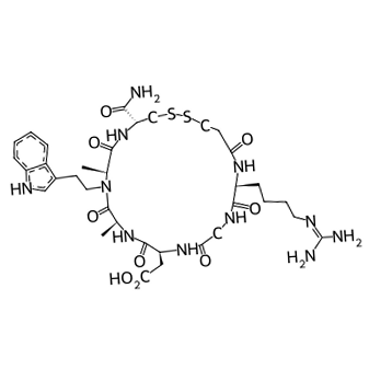 C[C@@H]1NC(=O)[C@H](CC(=O)O)NC(=O)CNC(=O)[C@H](CCCCN=C(N)N)NC(=O)CCSSC[C@@H](C(N)=O)NC(=O)[C@H](C)N(CCc2c[nH]c3ccccc23)C1=O